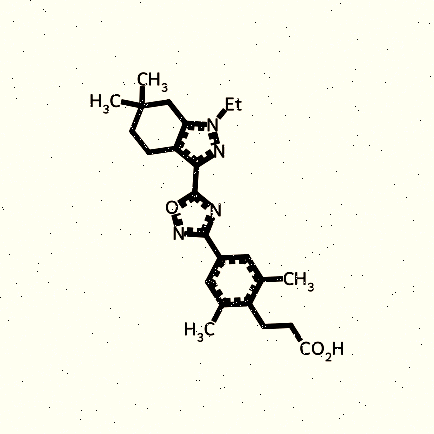 CCn1nc(-c2nc(-c3cc(C)c(CCC(=O)O)c(C)c3)no2)c2c1CC(C)(C)CC2